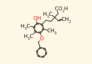 C=CC(C)(CCc1c(C)c(OCc2ccccc2)c(C)c(C)c1O)CC(=O)O